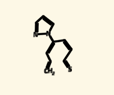 C=C/C=C(\C=C/C=S)n1cccn1